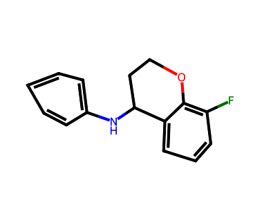 Fc1cccc2c1OCCC2Nc1ccccc1